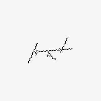 CCCCCCCCC(CCCCCC)C(=O)OCCCCCCN(CCCCCCOC(=O)C(CCCCCC)CCCCCCCC)CCNCCO